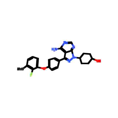 COc1cccc(Oc2ccc(-c3nn(C4CCC(O)CC4)c4ncnc(N)c34)cc2)c1F